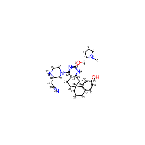 CN1CCC[C@H]1COc1nc2c(c(N3CCN(C)[C@@H](CC#N)C3)n1)CCC1(CCCc3ccc(O)cc31)C2